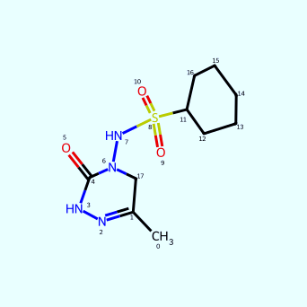 CC1=NNC(=O)N(NS(=O)(=O)C2CCCCC2)C1